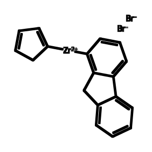 C1=CC[C]([Zr+2][c]2cccc3c2Cc2ccccc2-3)=C1.[Br-].[Br-]